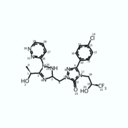 C[C@H](O)C1=NC(Cn2nc(-c3ccc(Cl)cc3)n(C[C@H](O)C(F)(F)F)c2=O)NN1c1cccnn1